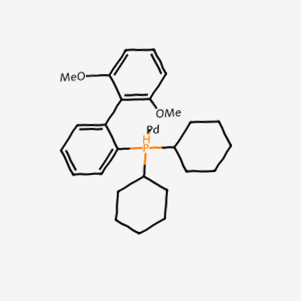 COc1cccc(OC)c1-c1ccccc1[PH]([Pd])(C1CCCCC1)C1CCCCC1